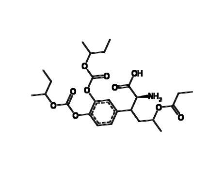 CCC(=O)OC(C)CC(c1ccc(OC(=O)OC(C)CC)c(OC(=O)OC(C)CC)c1)[C@H](N)C(=O)O